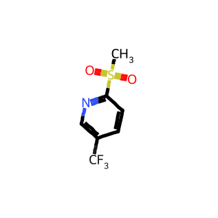 CS(=O)(=O)c1ccc(C(F)(F)F)cn1